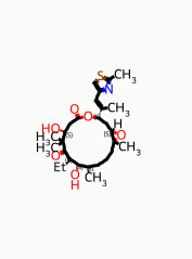 CC[C@H]1C(=O)C(C)(C)[C@@H](O)CC(=O)O[C@H](C(C)=Cc2csc(C)n2)C[C@@H]2OC2(C)CCC[C@H](C)[C@@H]1O